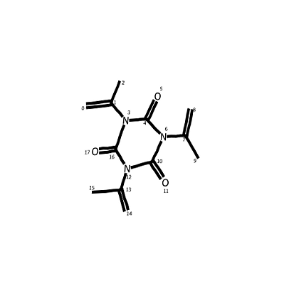 C=C(C)n1c(=O)n(C(=C)C)c(=O)n(C(=C)C)c1=O